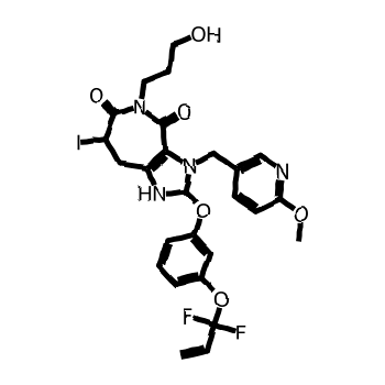 C=CC(F)(F)Oc1cccc(OC2NC3=C(C(=O)N(CCCO)C(=O)C(I)C3)N2Cc2ccc(OC)nc2)c1